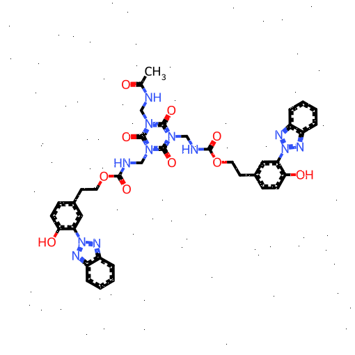 CC(=O)NCn1c(=O)n(CNC(=O)OCCc2ccc(O)c(-n3nc4ccccc4n3)c2)c(=O)n(CNC(=O)OCCc2ccc(O)c(-n3nc4ccccc4n3)c2)c1=O